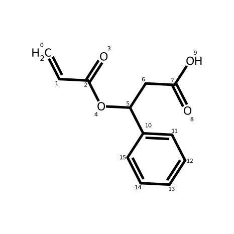 C=CC(=O)OC(CC(=O)O)c1ccccc1